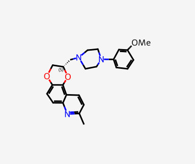 COc1cccc(N2CCN(C[C@H]3COc4ccc5nc(C)ccc5c4O3)CC2)c1